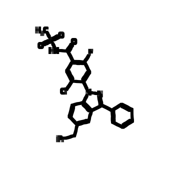 CC(C)Cc1ccc2c(c1)c(-c1ccccc1)nn2-c1cc(F)c(C(=O)NS(C)(=O)=O)cc1Cl